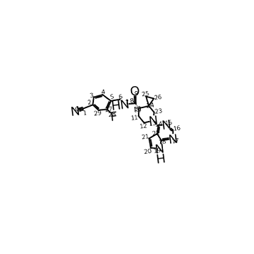 N#Cc1ccc(CNC(=O)[C@H]2CCN(c3ncnc4[nH]ccc34)CC23CC3)c(F)c1